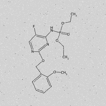 CCOP(=O)(Nc1nc(OCc2ccccc2OC)ncc1F)OCC